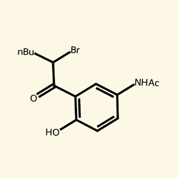 CCCCC(Br)C(=O)c1cc(NC(C)=O)ccc1O